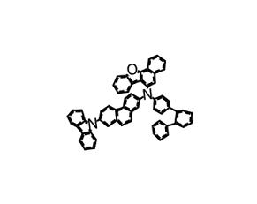 c1ccc(-c2ccccc2-c2ccc(N(c3ccc4c(ccc5cc(-n6c7ccccc7c7ccccc76)ccc54)c3)c3cc4ccccc4c4oc5ccccc5c34)cc2)cc1